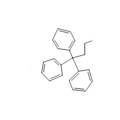 Br.CCCC(c1ccccc1)(c1ccccc1)c1ccccc1